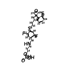 O=[PH](O)OCCCNCc1cc(F)c(SCCCCC2(c3ccccc3F)COC2)cc1F